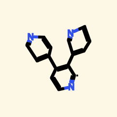 [c]1nccc(-c2ccncc2)c1-c1cccnc1